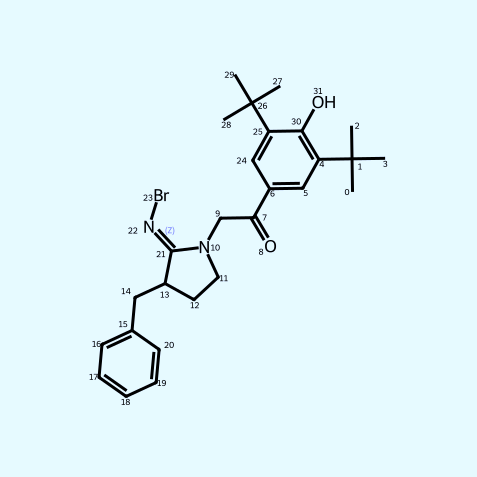 CC(C)(C)c1cc(C(=O)CN2CCC(Cc3ccccc3)/C2=N/Br)cc(C(C)(C)C)c1O